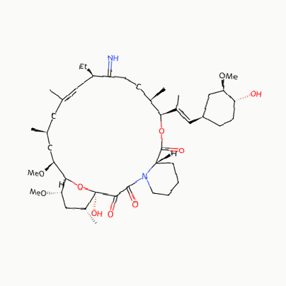 CC[C@@H]1/C=C(\C)C[C@H](C)C[C@H](OC)[C@H]2O[C@@](O)(C(=O)C(=O)N3CCCC[C@H]3C(=O)O[C@H](/C(C)=C/[C@@H]3CC[C@@H](O)[C@H](OC)C3)[C@H](C)CCC1=N)[C@H](C)C[C@@H]2OC